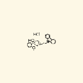 COc1ccccc1C1(O)CCN(CCCn2c3ccccc3c3ccccc32)CC1.Cl